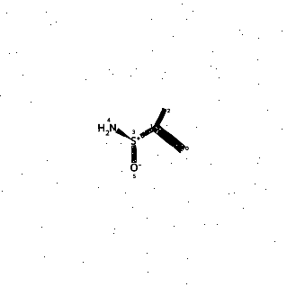 C=C(C)[S@+](N)[O-]